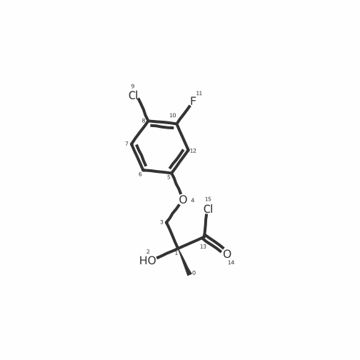 C[C@@](O)(COc1ccc(Cl)c(F)c1)C(=O)Cl